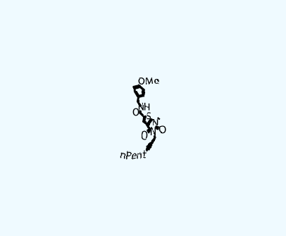 CCCCCC#CCn1c(=O)c2cc(C(=O)NCc3ccc(OC)cc3)sc2n(C)c1=O